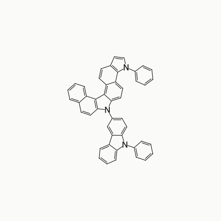 c1ccc(-n2ccc3ccc4c(ccc5c4c4c6ccccc6ccc4n5-c4ccc5c(c4)c4ccccc4n5-c4ccccc4)c32)cc1